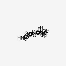 CNC(=O)CS(=O)(=O)c1ccc(S(=O)(=O)c2ccc(NC(=O)[C@@](C)(O)C(F)(F)F)c(F)c2)cc1